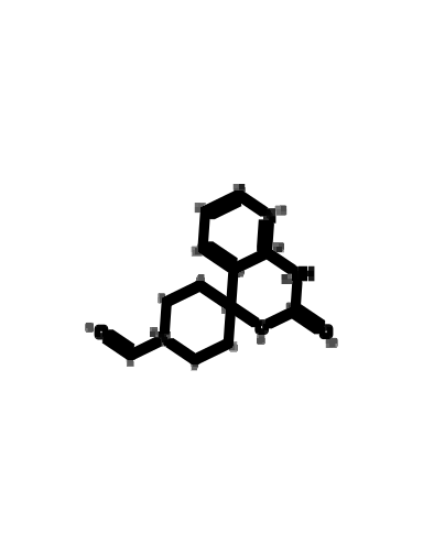 O=CN1CCC2(CC1)OC(=O)Nc1ncccc12